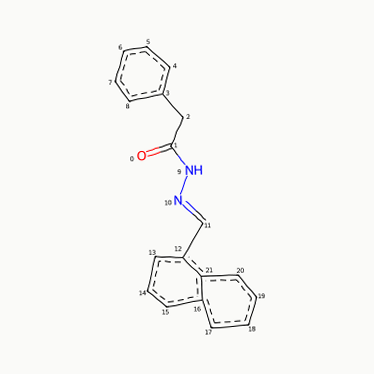 O=C(Cc1ccccc1)N/N=C/c1cccc2ccccc12